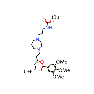 COc1cc(C(=O)O[C@H](CCC=O)CCN2CCCN(CCCNC(=O)OC(C)(C)C)CC2)cc(OC)c1OC